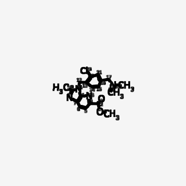 COC(=O)c1ccc2nc(C)n(Cc3ccc(CN(C)C)cc3Cl)c2n1